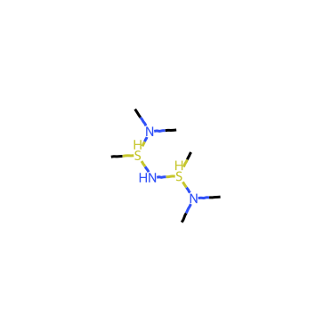 CN(C)[SH](C)N[SH](C)N(C)C